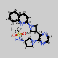 CS(=O)(=O)N[C@@H]1CCN(c2nccnc2C2CN(c3ccc4ccccc4n3)C2)C1